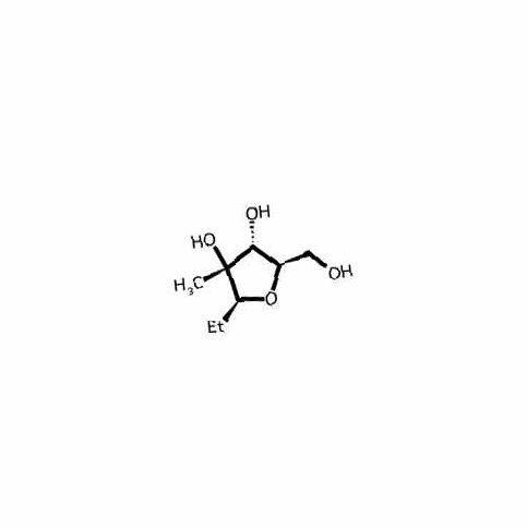 CC[C@@H]1O[C@H](CO)[C@@H](O)[C@@]1(C)O